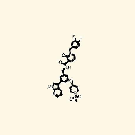 CS(=O)(=O)N1CCC(Oc2cc(CNC(=O)c3cccn(Cc4ccc(F)c(F)c4)c3=O)cc(C3=CNC4N=CC=CC34)c2)CC1